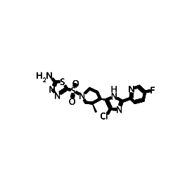 C[C@H]1CN(S(=O)(=O)c2nnc(N)s2)CC[C@H]1c1[nH]c(-c2ccc(F)cn2)nc1Cl